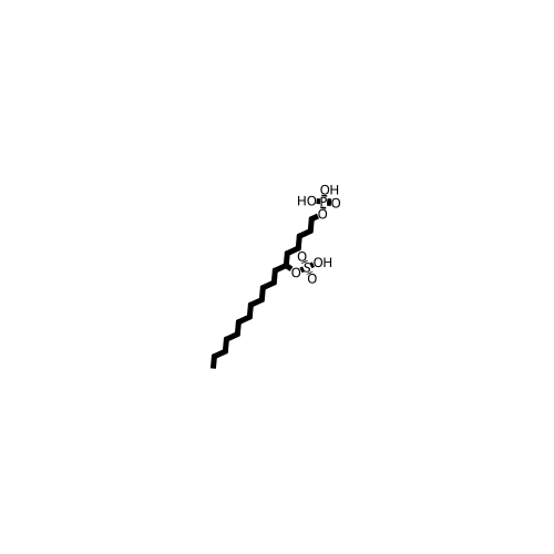 CCCCCCCCCCCCC(CCCCCOP(=O)(O)O)OS(=O)(=O)O